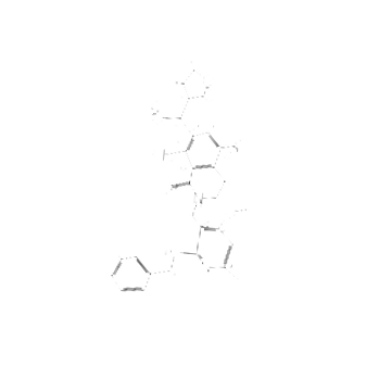 COc1cc(C)nc(OCc2ccccc2)c1CN1CCc2c(Cl)cc(C(OC)C3CCOC3)c(Cl)c2C1=O